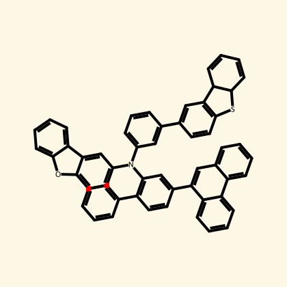 C1=CC2Sc3ccc(-c4cccc(N(c5ccc6oc7ccccc7c6c5)c5cc(-c6cc7ccccc7c7ccccc67)ccc5-c5ccccc5)c4)cc3C2C=C1